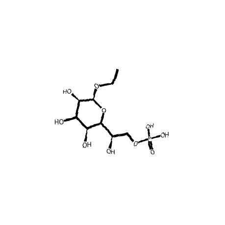 CCO[C@H]1OC([C@H](O)COP(=O)(O)O)[C@@H](O)C(O)[C@H]1O